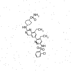 CCc1cc(NS(=O)(=O)c2ccccc2Cl)nnc1-c1cc(CC)c2nc(NC3CCC(OC(N)=O)CC3)ncc2c1